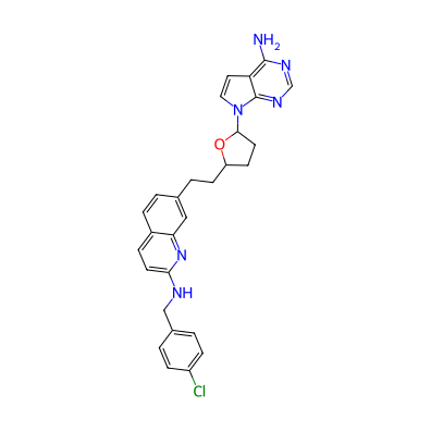 Nc1ncnc2c1ccn2C1CCC(CCc2ccc3ccc(NCc4ccc(Cl)cc4)nc3c2)O1